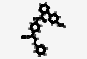 Cc1ccc(-c2ccccc2C(=O)Nc2ccc(N(C=O)CCc3ccccn3)cc2)cc1